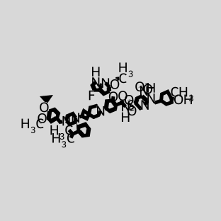 CCOc1nc2[nH]cc(F)c2cc1Oc1cc(N2CCC3(CC2)CC(N2CCN(Cc4ccc(OC5CC5)c(OC)c4)C[C@H]2c2ccccc2C(C)C)C3)ccc1C(=O)NS(=O)(=O)c1cnc(NCC2CCC(C)(O)CC2)c([N+](=O)[O-])c1